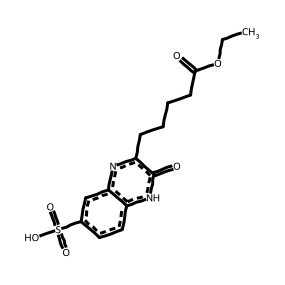 CCOC(=O)CCCCc1nc2cc(S(=O)(=O)O)ccc2[nH]c1=O